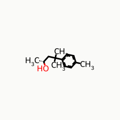 Cc1ccc(C(C)(C)C[C@@H](C)O)cc1